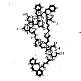 CC(C)Cc1cn(CCCCC(NC(=O)C(Cc2ccccc2)NC(=O)C(Cc2ccccc2)NC(=O)C(CC(=O)O)NC(=O)C(CC(=O)O)NC(=O)C(CC(=O)O)NC(=O)CNC(=O)CNC(=O)CNC(=O)C(CC(=O)O)NC(=O)C(CC(=O)O)NC(=O)CCC(=O)N2Cc3ccccc3C#Cc3ccccc32)C(N)=O)nn1